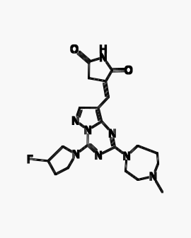 CN1CCCN(c2nc(N3CCC(F)C3)n3ncc(/C=C4\CC(=O)NC4=O)c3n2)CC1